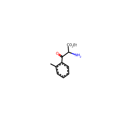 CCOC(=O)C(N)C(=O)c1ccccc1C